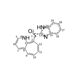 [O-][S+](C1=C2NC=CC=C2C=CC=C1)c1nc2ccccc2[nH]1